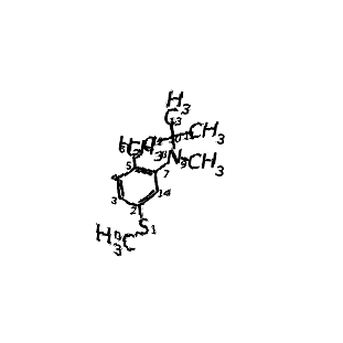 CSc1ccc(C)c(N(C)C(C)(C)C)c1